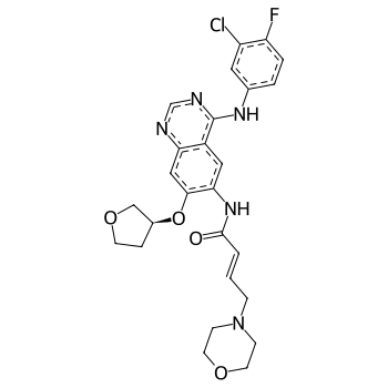 O=C(/C=C/CN1CCOCC1)Nc1cc2c(Nc3ccc(F)c(Cl)c3)ncnc2cc1O[C@H]1CCOC1